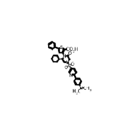 CN(C)c1ccc(-c2ccc(S(=O)(=O)N3CC(=O)N(c4cc(-c5ccccc5)sc4C(=O)O)[C@H](C4CCCCC4)C3)cn2)cc1